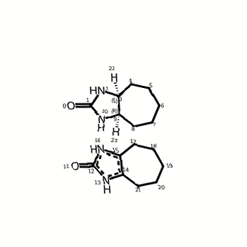 O=C1N[C@H]2CCCCC[C@H]2N1.O=c1[nH]c2c([nH]1)CCCCC2